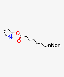 CCCCCCCCCCCCCCCC(=O)OC1CCC[N]1